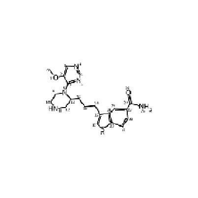 COc1cncnc1N1CCNCC1CCCc1csc2ccc(C(N)=O)cc12